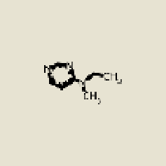 CCN(C)c1ccncn1